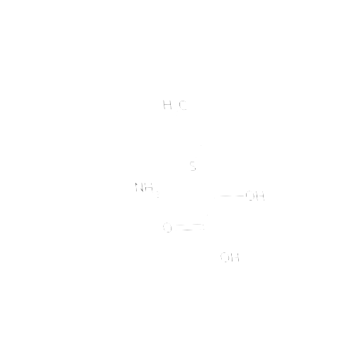 CCSC(O)C(=O)O.N